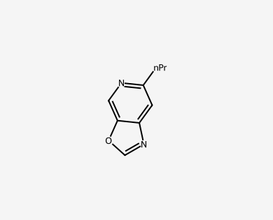 CCCc1cc2ncoc2cn1